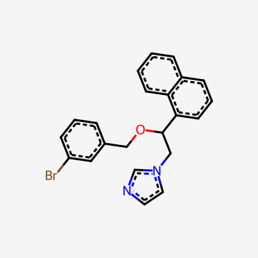 Brc1cccc(COC(Cn2ccnc2)c2cccc3ccccc23)c1